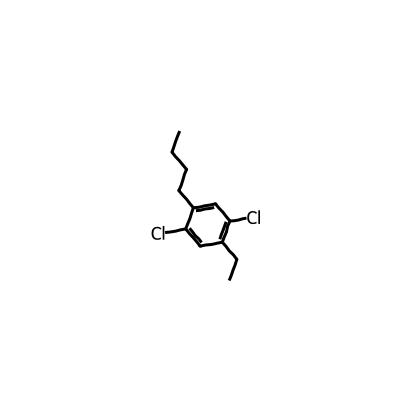 CCCCc1cc(Cl)c(CC)cc1Cl